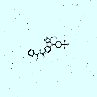 Cn1nnc2c3cc(C(=O)NC(CO)c4ccccn4)ccc3n(C3CCC(C(F)(F)F)CC3)c21